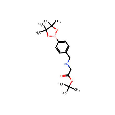 CC(C)(C)OC(=O)CNCc1ccc(B2OC(C)(C)C(C)(C)O2)cc1